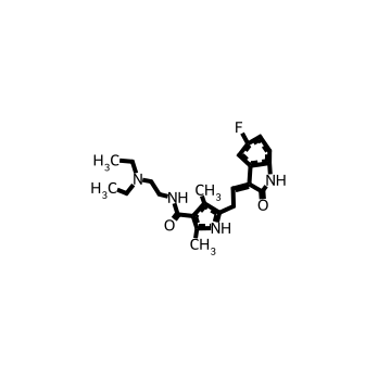 CCN(CC)CCNC(=O)c1c(C)[nH]c(C/C=C2\C(=O)Nc3ccc(F)cc32)c1C